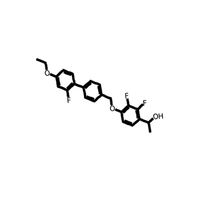 CCOc1ccc(-c2ccc(COc3ccc(C(C)O)c(F)c3F)cc2)c(F)c1